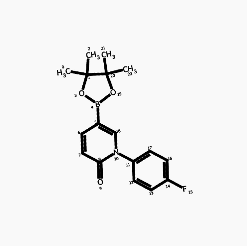 CC1(C)OB(c2ccc(=O)n(-c3ccc(F)cc3)c2)OC1(C)C